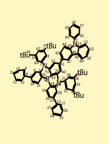 CC(C)(C)c1cc(N2c3cc(-c4ccccc4)ccc3B3c4ccc(-c5ccccc5)cc4N(c4cc(C(C)(C)C)cc(C(C)(C)C)c4)c4cc(-c5ccc6c(c5)c5ccccc5n6-c5ccccc5)cc2c43)cc(C(C)(C)C)c1